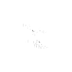 CCCC(CCOCP(=O)(OCOC(=O)C(C)(C)C)OCOC(=O)C(C)(C)C)n1cnc2c(NC)ncnc21